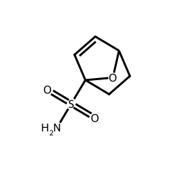 NS(=O)(=O)C12C=CC(CC1)O2